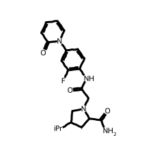 CC(C)C1[CH]C(C(N)=O)N(CC(=O)Nc2ccc(-n3ccccc3=O)cc2F)C1